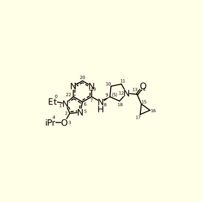 CCn1c(OC(C)C)nc2c(N[C@H]3CCN(C(=O)C4CC4)C3)ncnc21